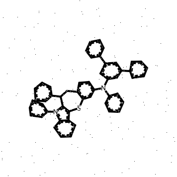 c1ccc(-c2cc(-c3ccccc3)cc(N(c3ccccc3)c3ccc4c(c3)Sc3c(n(-c5ccccc5)c5ccccc35)C(c3ccccc3)C4)c2)cc1